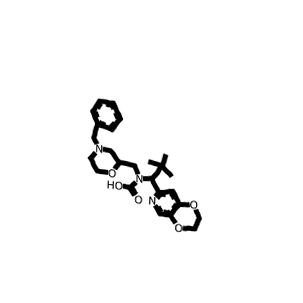 CC(C)(C)C(c1cc2c(cn1)OCCO2)N(CC1CN(Cc2ccccc2)CCO1)C(=O)O